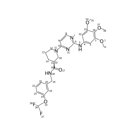 COc1cc(Nc2nccc(N3CCC[C@H](C(=O)NCc4cccc(OC(F)F)c4)C3)n2)cc(OC)c1OC